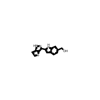 OCc1ccc2cc(-c3n[nH]c4ccsc34)[nH]c2c1